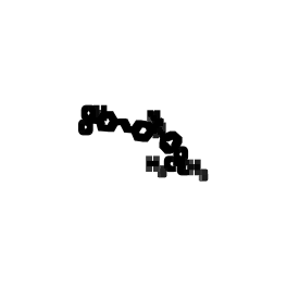 CC(C)Oc1ccc(-n2cnc3cc(C=Cc4ccc(C(=O)O)cc4)ccc32)cc1